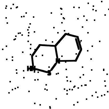 C1=CCN2SNCCC2C1